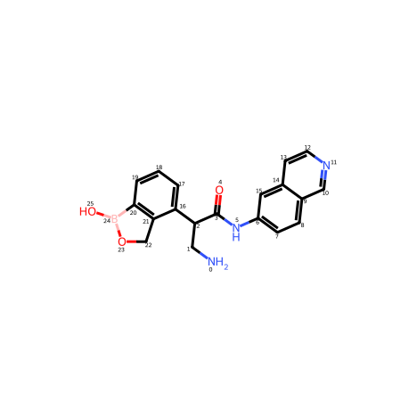 NCC(C(=O)Nc1ccc2cnccc2c1)c1cccc2c1COB2O